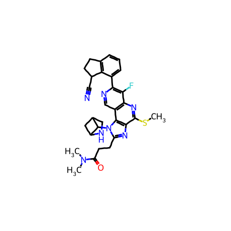 CSc1nc2c(F)c(-c3cccc4c3C(C#N)CC4)ncc2c2c1nc(CCC(=O)N(C)C)n2C1C2CNC1C2